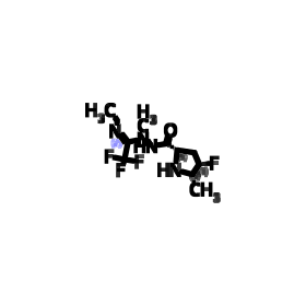 CC/N=C(\N(C)NC(=O)[C@@H]1C[C@@H](F)[C@H](C)N1)C(F)(F)F